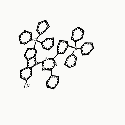 N#Cc1ccc2c3ccc([Si](c4ccccc4)(c4ccccc4)c4ccccc4)cc3n(-c3nc(-c4ccccc4)nc(-c4cccc([Si](c5ccccc5)(c5ccccc5)c5ccccc5)c4)n3)c2c1